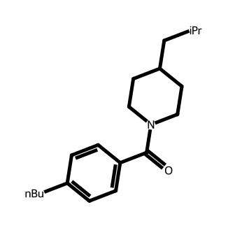 [CH2]C(C)CC1CCN(C(=O)c2ccc(CCCC)cc2)CC1